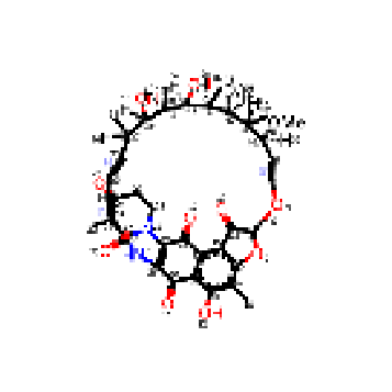 CO[C@H]1/C=C/O[C@@]2(C)Oc3c(C)c(O)c4c(c3C2=O)C(=O)C(N2CCC(=O)CC2)=C(NC(=O)/C(C)=C\C=C\[C@H](C)[C@H](O)[C@@H](C)[C@@H](O)[C@@H](C)[C@H](OC(C)=O)[C@@H]1C)C4=O